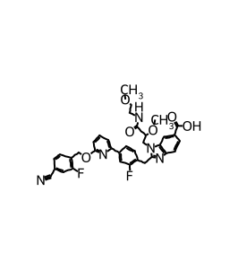 COCCNC(=O)C(Cn1c(Cc2ccc(-c3cccc(OCc4ccc(C#N)cc4F)n3)cc2F)nc2ccc(C(=O)O)cc21)OC